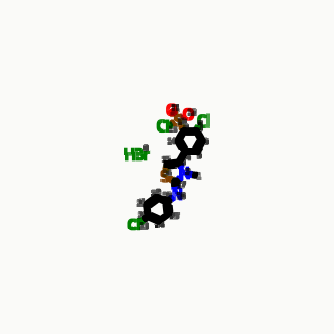 Br.Cn1c(-c2ccc(Cl)c(S(=O)(=O)Cl)c2)csc1=Nc1ccc(Cl)cc1